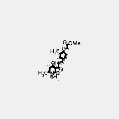 COC(=O)COc1ccc(/C=C/C(=O)c2c(O)cc(C)n(C)c2=O)cc1C